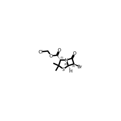 CC1(C)S[C@@H]2[C@H](Br)C(=O)N2[C@H]1C(=O)OCCl